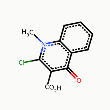 Cn1c(Cl)c(C(=O)O)c(=O)c2ccccc21